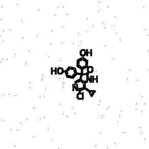 O=C1Nc2c(cnc(Cl)c2C2CC2)C1(c1ccc(O)cc1)c1ccc(O)cc1